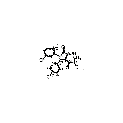 Cc1ccc(Cl)cc1N1C(=O)C(O)=C(C(=O)C(C)C)C1c1ccc(Cl)cn1